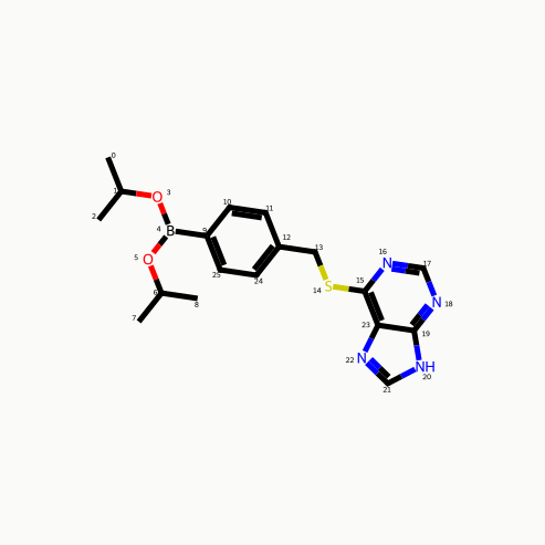 CC(C)OB(OC(C)C)c1ccc(CSc2ncnc3[nH]cnc23)cc1